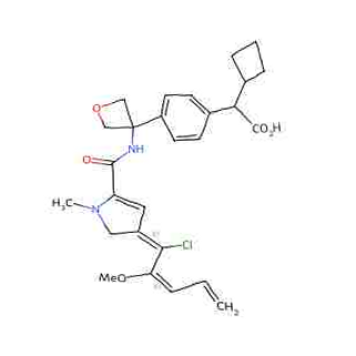 C=C/C=C(OC)\C(Cl)=C1\C=C(C(=O)NC2(c3ccc(C(C(=O)O)C4CCC4)cc3)COC2)N(C)C1